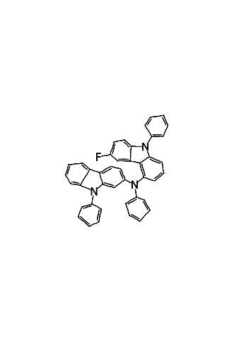 Fc1ccc2c(c1)c1c(N(c3ccccc3)c3ccc4c5ccccc5n(-c5ccccc5)c4c3)cccc1n2-c1ccccc1